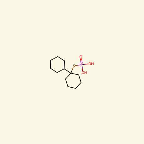 O=P(O)(O)SC1(C2CCCCC2)CCCCC1